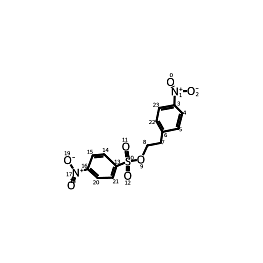 O=[N+]([O-])c1ccc(CCOS(=O)(=O)c2ccc([N+](=O)[O-])cc2)cc1